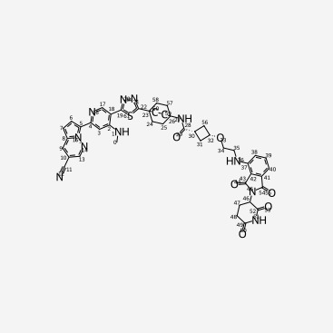 CNc1cc(-c2ccc3cc(C#N)cnn23)ncc1-c1nnc(C23CCC(NC(=O)[C@H]4C[C@@H](OCCNc5cccc6c5C(=O)N(C5CCC(=O)NC5=O)C6=O)C4)(CC2)CC3)s1